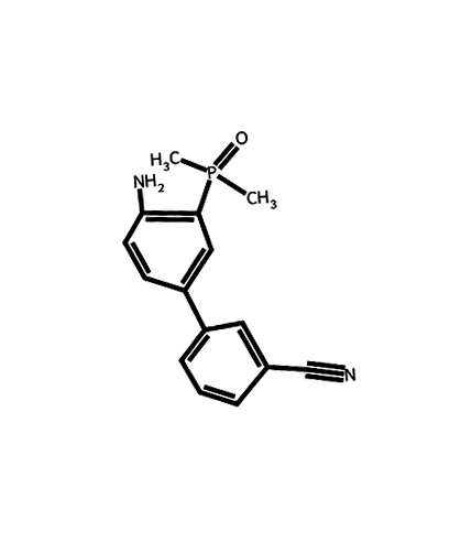 CP(C)(=O)c1cc(-c2cccc(C#N)c2)ccc1N